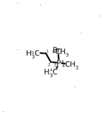 CCC[P+](C)(C)C.[Br-]